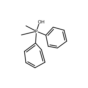 CP(C)(O)(c1ccccc1)c1ccccc1